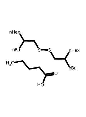 CCCCC(=O)O.CCCCCCC(CCCC)CSSCC(CCCC)CCCCCC